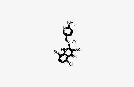 CC(=O)c1c([S+]([O-])Cc2ccc(N)nc2)[nH]c2c(Br)ccc(Cl)c2c1=O